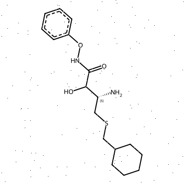 N[C@H](CSCC1CCCCC1)C(O)C(=O)NOc1ccccc1